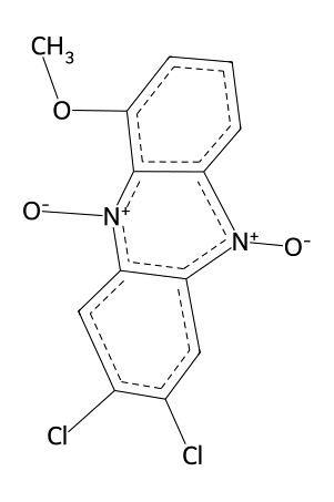 COc1cccc2c1[n+]([O-])c1cc(Cl)c(Cl)cc1[n+]2[O-]